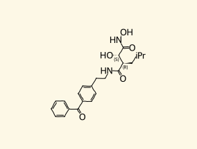 CC(C)C[C@@H](C(=O)NCCc1ccc(C(=O)c2ccccc2)cc1)[C@H](O)C(=O)NO